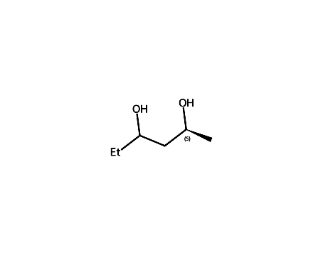 CCC(O)C[C@H](C)O